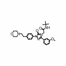 COc1cccc(-c2nn(-c3ccc(CCN4CCOCC4)cc3)c(=O)n2CC(=O)NC(C)(C)C)c1